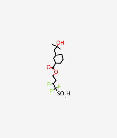 CC(C)(O)CC1CCCC(C(=O)OCCC(F)C(F)(F)S(=O)(=O)O)C1